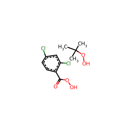 CC(C)(C)OO.O=C(OO)c1ccc(Cl)cc1Cl